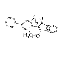 Cc1cc(-c2ccccc2)cc(C)c1C1=C(O)c2c(c3ccc2o3)C1=O